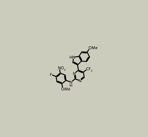 COc1ccc2c(-c3nc(Nc4cc([N+](=O)[O-])c(F)cc4OC)ncc3C(F)(F)F)c[nH]c2c1